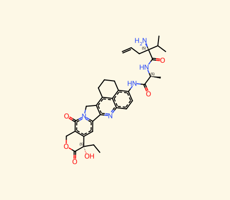 C=CC[C@@](N)(C(=O)N[C@@H](C)C(=O)Nc1ccc2nc3c(c4c2c1CCC4)Cn1c-3cc2c(c1=O)COC(=O)[C@]2(O)CC)C(C)C